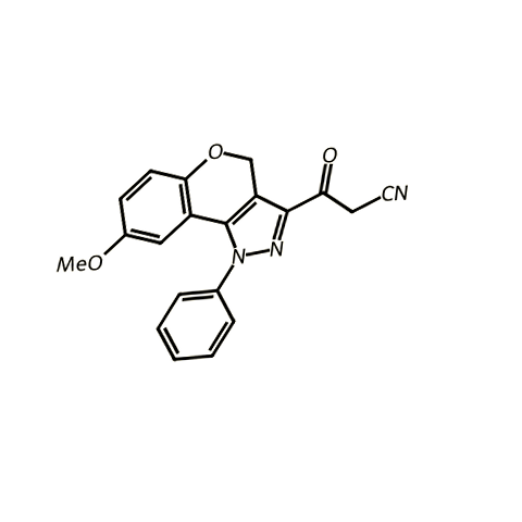 COc1ccc2c(c1)-c1c(c(C(=O)CC#N)nn1-c1ccccc1)CO2